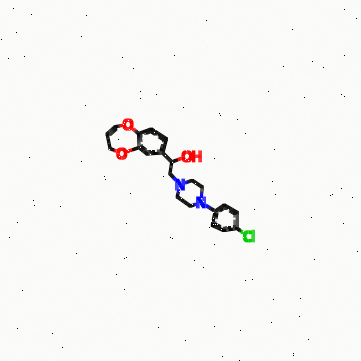 OC(CN1CCN(c2ccc(Cl)cc2)CC1)c1ccc2c(c1)OCC=CO2